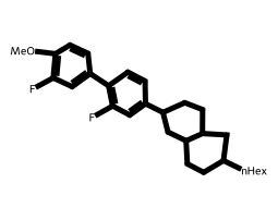 CCCCCCC1CCC2CC(c3ccc(-c4ccc(OC)c(F)c4)c(F)c3)CCC2C1